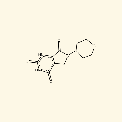 O=C1c2[nH]c(=O)[nH]c(=O)c2CN1C1CCOCC1